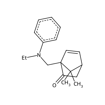 CCN(CC12C=CC(CC1=O)C2(C)C)c1ccccc1